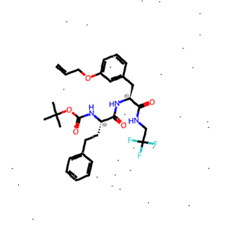 C=CCOc1cccc(C[C@H](NC(=O)[C@H](CCc2ccccc2)NC(=O)OC(C)(C)C)C(=O)NCC(F)(F)F)c1